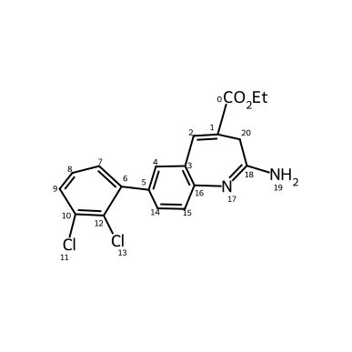 CCOC(=O)C1=Cc2cc(-c3cccc(Cl)c3Cl)ccc2N=C(N)C1